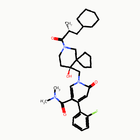 C[C@H](CC1CCCCC1)C(=O)N1CC[C@@](O)(Cn2cc(C(=O)N(C)C)c(-c3ccccc3F)cc2=O)C2(CCCC2)C1